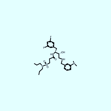 CCCN(CCC)S(=O)(=O)CCC(=O)N[C@@H](Cc1cc(F)cc(F)c1)[C@H](O)CNCc1cccc(N(C)C)c1